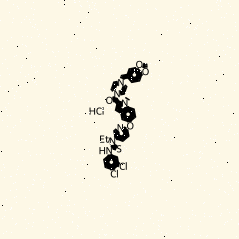 CCN(C(=S)Nc1ccc(Cl)c(Cl)c1)c1ccc(Oc2ccc3c(c2)cc(C(=O)N2CCN(Cc4ccc5c(c4)OCO5)CC2)n3C)nc1.Cl